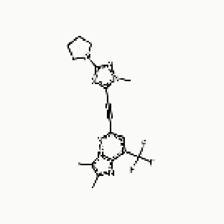 Cc1nc2c(C(F)(F)F)cc(C#Cc3nc(N4CCCC4)nn3C)nn2c1C